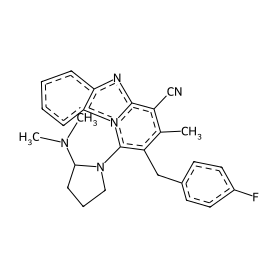 Cc1c(Cc2ccc(F)cc2)c(N2CCCC2N(C)C)n2c(nc3ccccc32)c1C#N